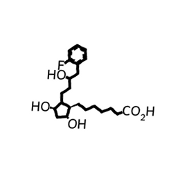 O=C(O)CCCCCC[C@@H]1C(CCC(O)Cc2ccccc2F)[C@H](O)C[C@@H]1O